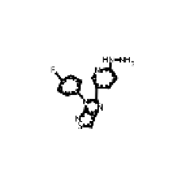 NNc1ccc(-c2nc3csnc3n2-c2ccc(F)cc2)cn1